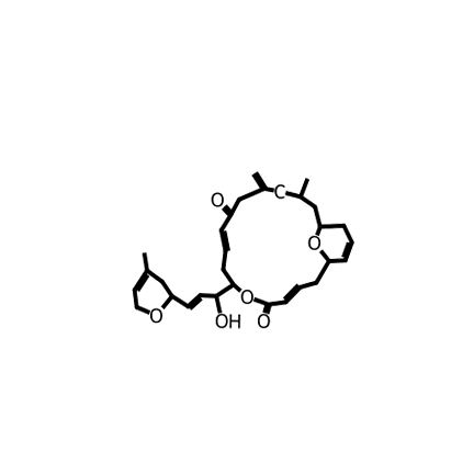 C=C1CC(=O)/C=C/CC(C(O)C=CC2CC(C)=CCO2)OC(=O)/C=C/CC2C=CCC(CC(C)C1)O2